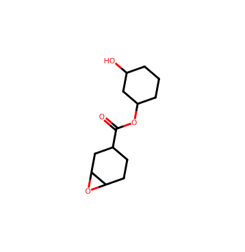 O=C(OC1CCCC(O)C1)C1CCC2OC2C1